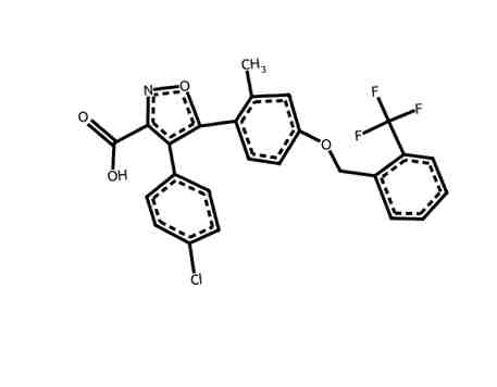 Cc1cc(OCc2ccccc2C(F)(F)F)ccc1-c1onc(C(=O)O)c1-c1ccc(Cl)cc1